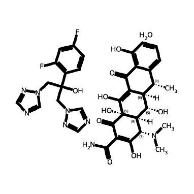 C[C@H]1c2cccc(O)c2C(=O)C2=C(O)[C@]3(O)C(=O)C(C(N)=O)=C(O)[C@@H](N(C)C)[C@@H]3[C@@H](O)[C@@H]21.O.OC(Cn1cncn1)(Cn1cncn1)c1ccc(F)cc1F